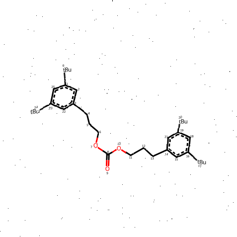 CC(C)(C)c1cc(CCCOC(=O)OCCCc2cc(C(C)(C)C)cc(C(C)(C)C)c2)cc(C(C)(C)C)c1